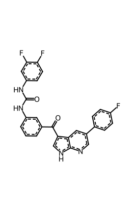 O=C(Nc1cccc(C(=O)c2c[nH]c3ncc(-c4ccc(F)cc4)cc23)c1)Nc1ccc(F)c(F)c1